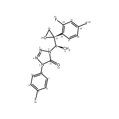 C[C@@H](n1nnn(-c2ccc(F)cc2)c1=O)[C@@]1(c2ccc(F)cc2F)CO1